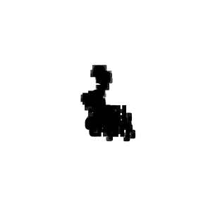 CC1=NC(CCc2ccc(OCCCc3ccc4c(c3)CCC4)c(C(F)(F)F)c2)(COP(=O)(OC(C)(C)C)OC(C)(C)C)CO1